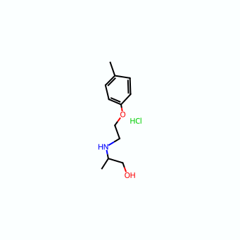 Cc1ccc(OCCNC(C)CO)cc1.Cl